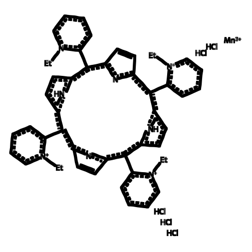 CC[n+]1ccccc1-c1c2nc(c(-c3cccc[n+]3CC)c3ccc([nH]3)c(-c3cccc[n+]3CC)c3nc(c(-c4cccc[n+]4CC)c4ccc1[nH]4)C=C3)C=C2.Cl.Cl.Cl.Cl.Cl.[Mn+3]